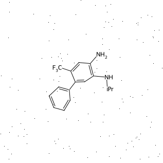 CC(C)Nc1cc(-c2ccccc2)c(C(F)(F)F)cc1N